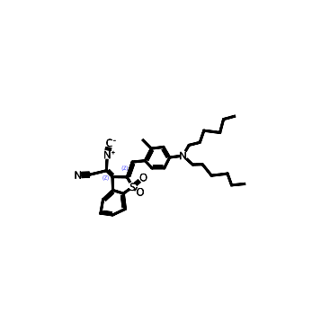 [C-]#[N+]/C(C#N)=C1\C(=C\c2ccc(N(CCCCCC)CCCCCC)cc2C)S(=O)(=O)c2ccccc21